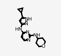 c1cc(Nc2cc(C3CC3)[nH]n2)nc(NC2CCOCC2)n1